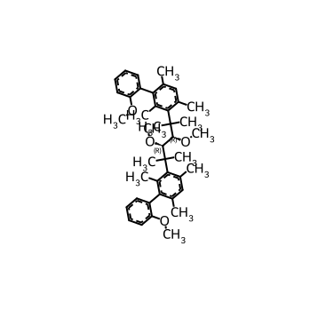 COc1ccccc1-c1c(C)cc(C)c(C(C)(C)[C@@H](OC)[C@H](OC)C(C)(C)c2c(C)cc(C)c(-c3ccccc3OC)c2C)c1C